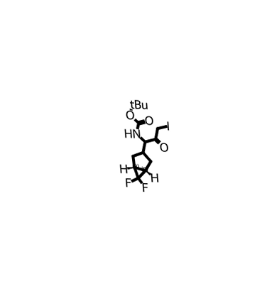 CC(C)(C)OC(=O)NC(C(=O)CI)C1C[C@@H]2[C@H](C1)C2(F)F